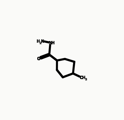 CC1CCC(C(=O)NN)CC1